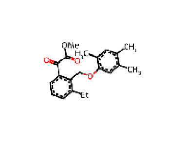 CCc1cccc(C(=O)C(=O)OC)c1COc1cc(C)c(C)cc1C